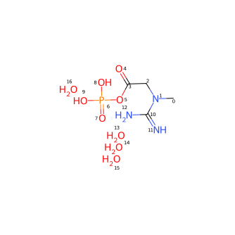 CN(CC(=O)OP(=O)(O)O)C(=N)N.O.O.O.O